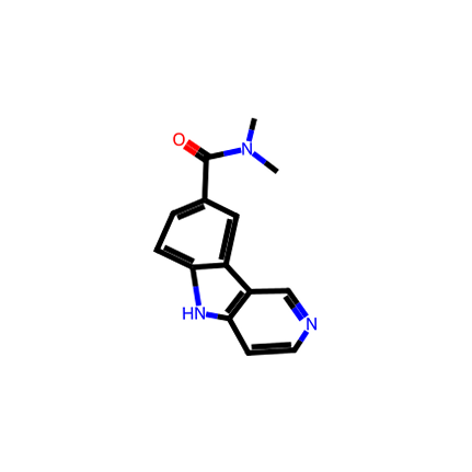 CN(C)C(=O)c1ccc2[nH]c3ccncc3c2c1